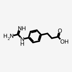 N=C(N)Nc1ccc(CCC(=O)O)cc1